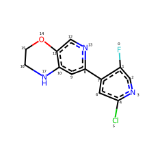 Fc1cnc(Cl)cc1-c1cc2c(cn1)OCCN2